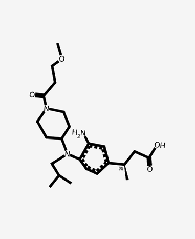 COCCC(=O)N1CCC(N(CC(C)C)c2ccc([C@H](C)CC(=O)O)cc2N)CC1